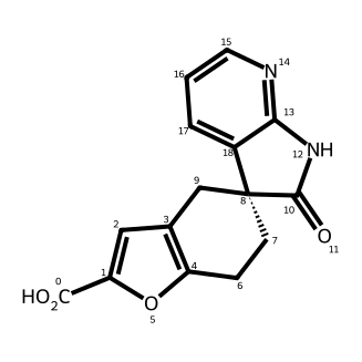 O=C(O)c1cc2c(o1)CC[C@@]1(C2)C(=O)Nc2ncccc21